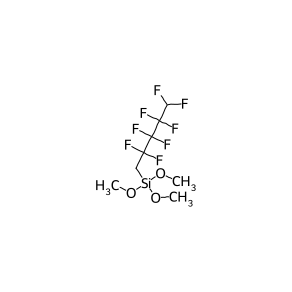 CO[Si](CC(F)(F)C(F)(F)C(F)(F)C(F)F)(OC)OC